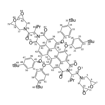 CC(C)C(C(=O)N(CC1CO1)CC1CO1)N1C(=O)c2cc(Oc3ccc(C(C)(C)C)cc3)c3c4c(Oc5ccc(C(C)(C)C)cc5)cc5c6c(cc(Oc7ccc(C(C)(C)C)cc7)c(c7c(Oc8ccc(C(C)(C)C)cc8)cc(c2c37)C1=O)c64)C(=O)N(C(C(=O)N(CC1CO1)CC1CO1)C(C)C)C5=O